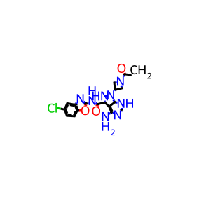 C=CC(=O)N1CC(N2NC(C(=O)Nc3nc4cc(Cl)ccc4o3)C3=C(N)N=CNC32)C1